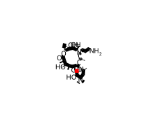 CC[C@H]1OC(=O)[C@H](C)[C@@H](O)[C@H](C)[C@@H](O[C@@H]2O[C@H](C)C[C@H](N(C)C)[C@H]2O)C(C)(O)C[C@@H](C)CN(CCCN)[C@H](C)[C@@H](O)[C@]1(C)O